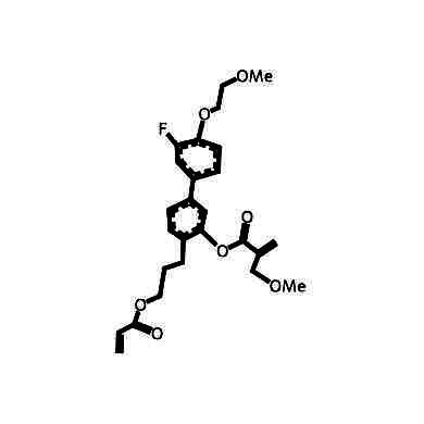 C=CC(=O)OCCCc1ccc(-c2ccc(OCCOC)c(F)c2)cc1OC(=O)C(=C)COC